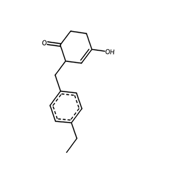 CCc1ccc(CC2C=C(O)CCC2=O)cc1